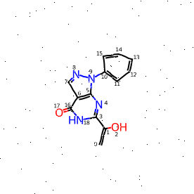 C=C(O)c1nc2c(cnn2-c2ccccc2)c(=O)[nH]1